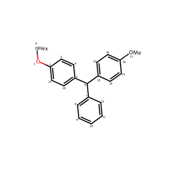 CCCCCCOc1ccc(C(c2ccccc2)c2ccc(OC)cc2)cc1